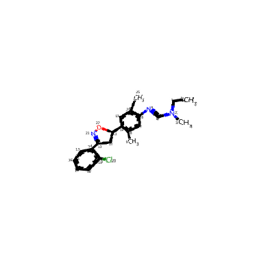 CCN(C)C=Nc1cc(C)c(C2CC(c3ccccc3Cl)=NO2)cc1C